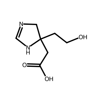 O=C(O)CC1(CCO)CN=CN1